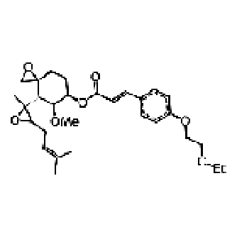 CCOCCOc1ccc(/C=C/C(=O)O[C@@H]2CC[C@]3(CO3)[C@@H](C3(C)OC3CC=C(C)C)[C@@H]2OC)cc1